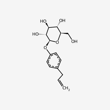 C=CCc1ccc(O[C@@H]2O[C@H](CO)[C@@H](O)[C@H](O)[C@H]2O)cc1